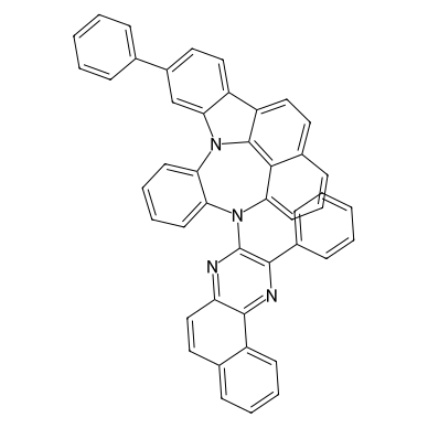 c1ccc(-c2ccc3c4ccc5cccc6c5c4n(c3c2)c2ccccc2n6-c2nc3ccc4ccccc4c3nc2-c2ccccc2)cc1